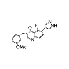 COc1cccc(Cn2cnc3ccc(-c4cn[nH]c4)c(F)c3c2=O)c1